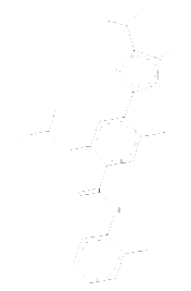 Cc1ccccc1NC(=O)c1cc(F)c(-c2nc(C(C)O)n(C)n2)cc1OC(C)C(F)(F)F